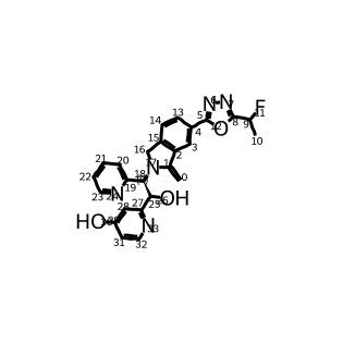 C=C1c2cc(-c3nnc(C(C)F)o3)ccc2CN1[C@H](c1ccccn1)C(O)c1cc(O)ccn1